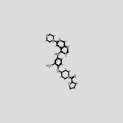 Cc1cc(Nc2ncnc3cnc(N4CCOCC4)cc23)ccc1OC1CCN(C(=O)C2CCCO2)CC1